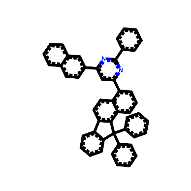 c1ccc(-c2nc(-c3ccc4ccccc4c3)cc(-c3cccc4c5c(ccc34)-c3ccccc3C5(c3ccccc3)c3ccccc3)n2)cc1